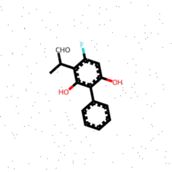 CC(C=O)c1c(F)cc(O)c(-c2ccccc2)c1O